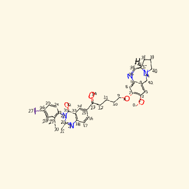 COc1cc2c(cc1OCCCCC(=O)c1ccc3nc(C)n(-c4ccc(I)cc4C)c(=O)c3c1)N=C[C@@H]1CCCN1C2